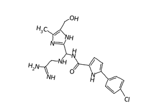 Cc1nc(C(NCC(=N)N)NC(=O)c2ccc(-c3ccc(Cl)cc3)[nH]2)[nH]c1CO